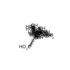 CC1O[C@@H](OC2C(O)[C@@H](NC(=O)CCCCCCCCCCC(=O)O)C(CO)O[C@H]2OC(=O)[C@]23CCC(C)(C)CC2C2=CCC4C5(C)CC[C@H](O)C(C)(C=O)C5CCC4(C)C2(C)CC3O)C(CO)C(O)[C@H]1O[C@@H]1OC[C@@H](O)C(O)C1O